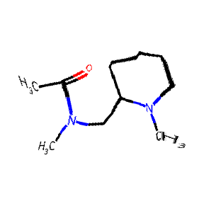 CC(=O)N(C)CC1CCCCN1C